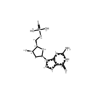 Nc1nc2c(nnn2[C@H]2C[C@@H](F)[C@@H](COP(O)(O)=S)O2)c(=O)[nH]1